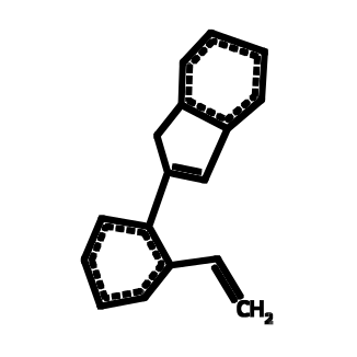 C=Cc1ccccc1C1=Cc2ccccc2C1